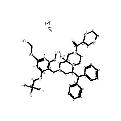 CCOc1nc(OC)c(CN2CC(C(c3ccccc3)c3ccccc3)N3CCN(C(=O)C4COCCO4)C[C@H]3C2)c(OCC(F)(F)F)n1.Cl.Cl